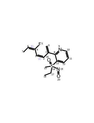 C=C(/C=C\C(F)=C/C)c1ncccc1S(C)(=O)(CC)N=O